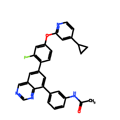 CC(=O)Nc1cccc(-c2cc(-c3ccc(Oc4cc(C5CC5)ccn4)cc3F)cc3cncnc23)c1